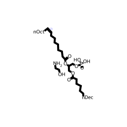 CCCCCCCC/C=C\CCCCCCCC(=O)OC(COC(=O)CCCCCCCCCCCCCCC)COP(=O)(O)O.NCCO